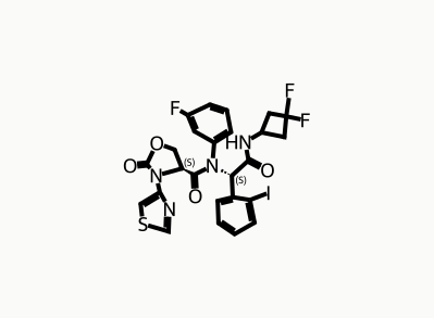 O=C(NC1CC(F)(F)C1)[C@H](c1ccccc1I)N(C(=O)[C@@H]1COC(=O)N1c1cscn1)c1cccc(F)c1